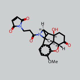 COc1ccc2c3c1O[C@H]1C(=O)CC[C@@]4(O)C5C(C[C@]314)N(C(=O)CCN1C(=O)C=CC1=O)[C@@H]5C2